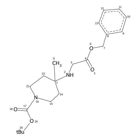 CC1(NCC(=O)OCc2ccccc2)CCN(C(=O)OC(C)(C)C)CC1